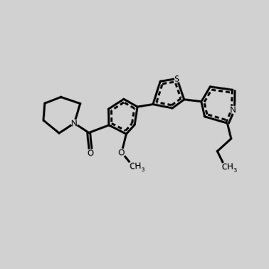 CCCc1cc(-c2cc(-c3ccc(C(=O)N4CCCCC4)c(OC)c3)cs2)ccn1